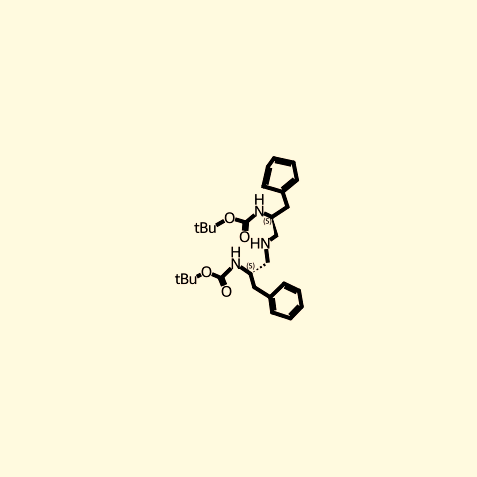 CC(C)(C)OC(=O)N[C@H](CNC[C@H](Cc1ccccc1)NC(=O)OC(C)(C)C)Cc1ccccc1